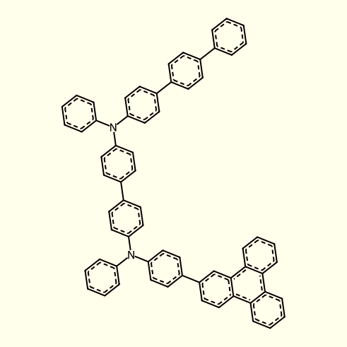 c1ccc(-c2ccc(-c3ccc(N(c4ccccc4)c4ccc(-c5ccc(N(c6ccccc6)c6ccc(-c7ccc8c9ccccc9c9ccccc9c8c7)cc6)cc5)cc4)cc3)cc2)cc1